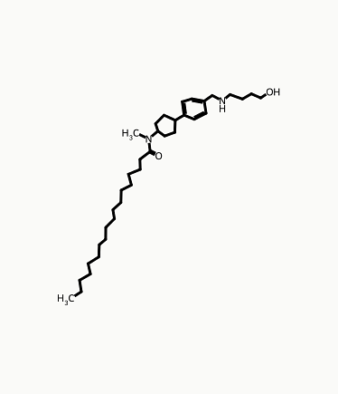 CCCCCCCCCCCCCCCCCC(=O)N(C)C1CCC(c2ccc(CNCCCCO)cc2)CC1